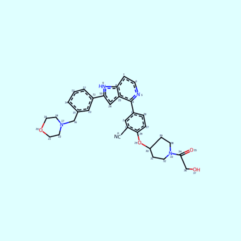 N#Cc1cc(-c2nccc3[nH]c(-c4cccc(CN5CCOCC5)c4)cc23)ccc1OC1CCN(C(=O)CO)CC1